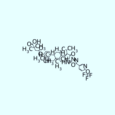 CC(C)C1=C2[C@H]3CC[C@@H]4[C@@]5(C)CC[C@H](OC(=O)CC(C)(C)C(=O)O)C(C)(C)[C@@H]5CC[C@@]4(C)[C@]3(C)CC[C@@]2(Nc2nnc(-c3ccc(OC(F)(F)F)nc3)o2)CC1=O